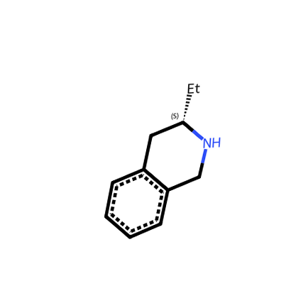 CC[C@H]1Cc2ccccc2CN1